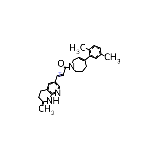 C=C1CCc2cc(/C=C/C(=O)N3CC=C(c4cc(C)ccc4C)CCC3)cnc2N1